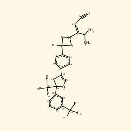 CC(C)/C(=N\C#N)N1CC(F)(c2ccc(C3=NOC(c4cccc(C(F)(F)F)c4)(C(F)(F)F)C3)cc2)C1